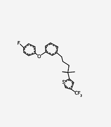 CC(C)(CCCc1cccc(Oc2ccc(F)cc2)c1)c1cc(C(F)(F)F)cs1